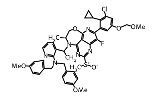 COCOc1cc(Cl)c(C2CC2)c(-c2nc3c4c(nc([S+](C)[O-])nc4c2F)N(C(C)c2cccnc2N(Cc2ccc(OC)cc2)Cc2ccc(OC)cc2)[C@@H](C)CO3)c1